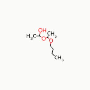 CCCCOC(C)OC(C)O